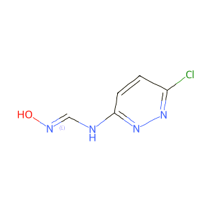 O/N=C/Nc1ccc(Cl)nn1